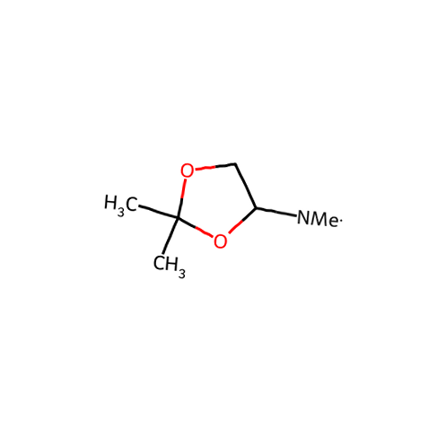 C[N]C1COC(C)(C)O1